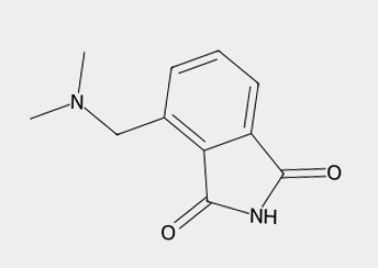 CN(C)Cc1cccc2c1C(=O)NC2=O